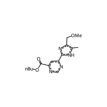 CCCCOC(=O)c1cc(-c2nc(COC)c(C)[nH]2)ncn1